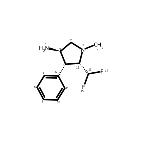 CN1C[C@H](N)[C@@H](c2ccccc2)[C@H]1C(F)F